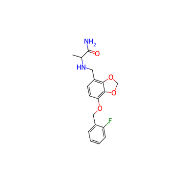 CC(NCc1ccc(OCc2ccccc2F)c2c1OCO2)C(N)=O